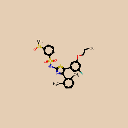 Cc1cccc(C)c1-c1nc(NS(=O)(=O)c2cccc([S+](C)[O-])c2)sc1-c1cc(F)cc(OCCC(C)(C)C)c1